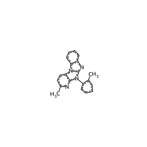 Cc1ccc2c(n1)n(-c1ccccc1C)c1nc3ccccc3n21